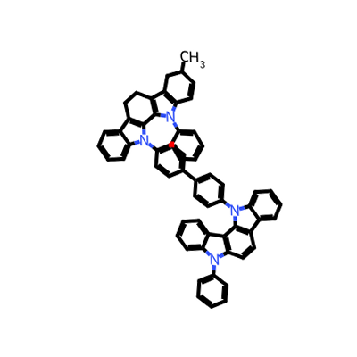 CC1C=Cc2c(c3c(n2-c2ccccc2)-c2c(c4ccccc4n2-c2ccc(-c4ccc(-n5c6ccccc6c6ccc7c(c8ccccc8n7-c7ccccc7)c65)cc4)cc2)CC3)C1